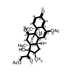 CC(=O)OCC(=O)[C@@]1(O)[C@H](C)C[C@H]2[C@@H]3C=C(OC(C)=O)C4=CC(=O)C=C[C@]4(C)[C@@]3(F)C(=O)C[C@@]21C